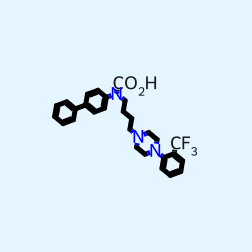 O=C(O)N(CCCCN1CCN(c2ccccc2C(F)(F)F)CC1)c1ccc(-c2ccccc2)cc1